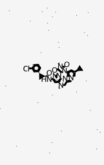 CN1C(=O)CN(c2cc(C3CC3)cn3cc(CN(C)c4cnnc(NC(=O)[C@H]5C[C@@H]5c5cccc(Cl)c5)c4)nc23)C1=O